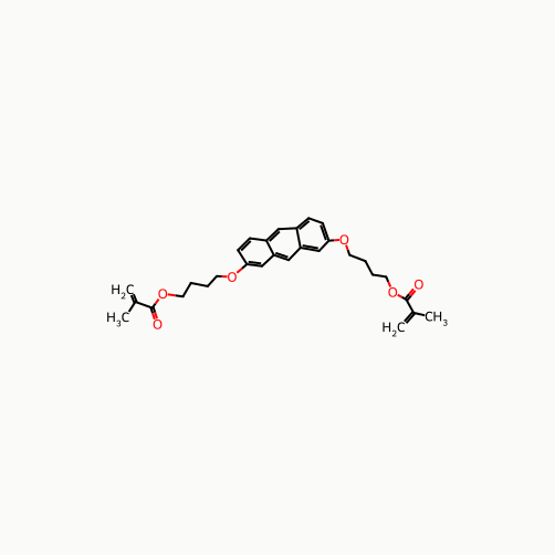 C=C(C)C(=O)OCCCCOc1ccc2cc3ccc(OCCCCOC(=O)C(=C)C)cc3cc2c1